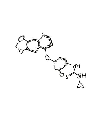 S=C(Nc1ccc(Oc2ccnc3cc4c(cc23)OCO4)cc1Cl)NC1CC1